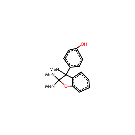 CNC1(NC)Oc2ccccc2C1(NC)c1ccc(O)cc1